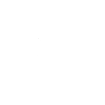 CCCCCCCCCCC(N)(CCC)CCCCCCCCCC